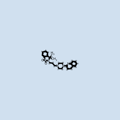 CC1(C)c2ccccc2S(=O)(=O)N1CCCN1CCN(c2ccc3ccccc3n2)CC1